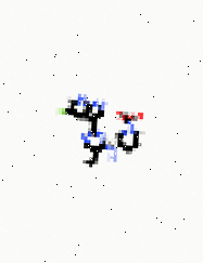 CCc1cnc(-c2c[nH]c3ncc(F)cc23)nc1N[C@H]1CCCN(C(=O)O)C1